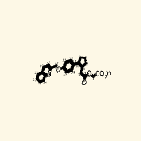 O=C(O)COC(=O)CC1CCCC1c1ccc(OCc2ccc3ccccc3n2)cc1